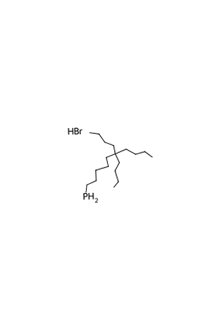 Br.CCCCC(CCCC)(CCCC)CCCCCP